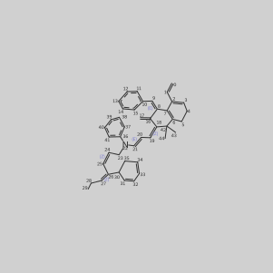 C=CC1=CCCC2=C1/C(=C/c1ccccc1)C(=C)/C(=C\C=C\N(C/C=C\C(=C/CC)C1C=CC=CC1)c1ccccc1)C2(C)C